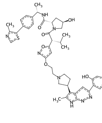 Cc1ncsc1-c1ccc([C@H](C)NC(=O)[C@@H]2C[C@@H](O)CN2C(=O)[C@@H](c2cc(OCCN3CC[C@@H](c4c(C)[nH]c5nnc(-c6ccccc6O)cc45)C3)no2)C(C)C)cc1